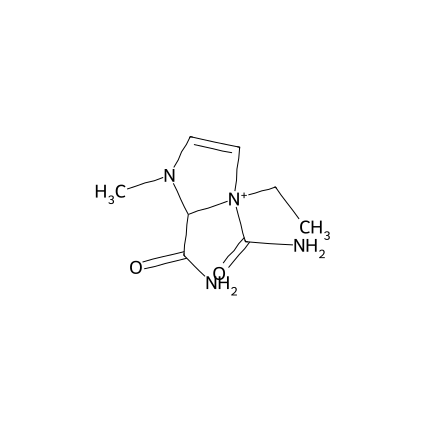 CC[N+]1(C(N)=O)C=CN(C)C1C(N)=O